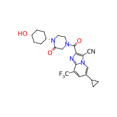 N#Cc1c(C(=O)N2CCN([C@H]3CC[C@@H](O)CC3)C(=O)C2)nc2c(C(F)(F)F)cc(C3CC3)cn12